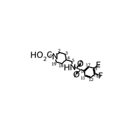 O=C(O)N1CCC(CNS(=O)(=O)c2ccc(F)c(F)c2)CC1